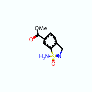 COC(=O)c1ccc2c(c1)S(N)(=O)=NC2